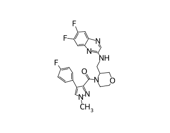 Cn1cc(-c2ccc(F)cc2)c(C(=O)N2CCOCC2CNc2cnc3cc(F)c(F)cc3n2)n1